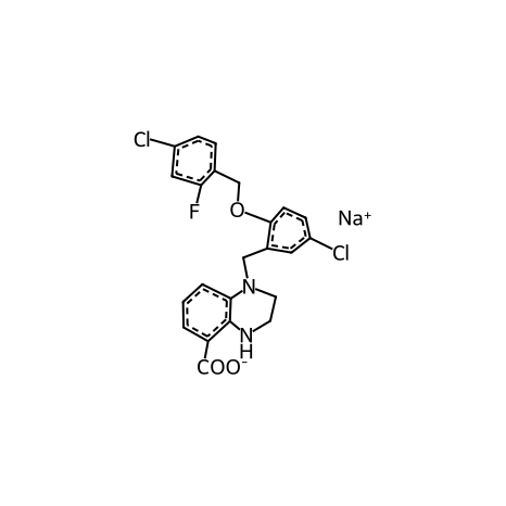 O=C([O-])c1cccc2c1NCCN2Cc1cc(Cl)ccc1OCc1ccc(Cl)cc1F.[Na+]